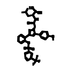 COc1ccc(-c2cc(-c3ccccc3OS(=O)(=O)c3cccc(C(F)(F)F)c3)nn2CC(=O)N[C@@H](CC(C)C)B(O)O)cc1